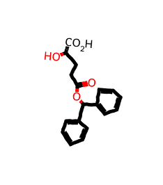 O=C(CCC(O)C(=O)O)OC(c1ccccc1)c1ccccc1